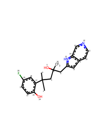 CC(C)(CC(O)(Cc1cc2ccncc2[nH]1)C(F)(F)F)c1cc(F)ccc1O